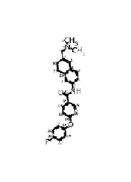 CN(C)CC1=Cc2ccc(NC(=O)c3ccc(Oc4ccc(F)cc4)nc3)cc2CC1